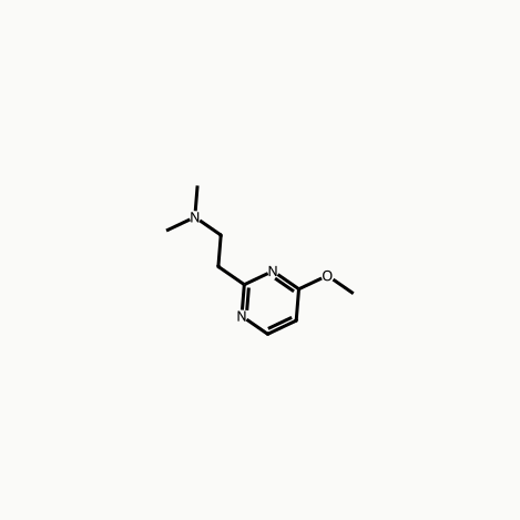 COc1ccnc(CCN(C)C)n1